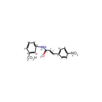 O=C(/C=C/c1ccc([N+](=O)[O-])cc1)Nc1cccc(C(=O)O)c1